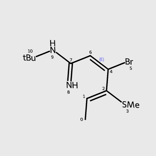 CC=C(SC)/C(Br)=C\C(=N)NC(C)(C)C